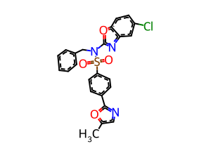 Cc1cnc(-c2ccc(S(=O)(=O)N(Cc3ccccc3)c3nc4cc(Cl)ccc4o3)cc2)o1